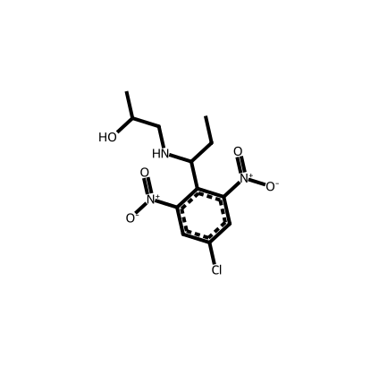 CCC(NCC(C)O)c1c([N+](=O)[O-])cc(Cl)cc1[N+](=O)[O-]